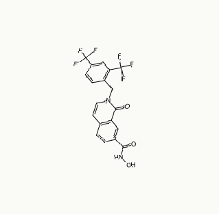 O=C(NO)c1ccc2ccn(Cc3ccc(C(F)(F)F)cc3C(F)(F)F)c(=O)c2c1